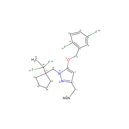 CNCc1cc(OCc2cc(F)ccc2F)n(CC2(C(C)(F)F)CCCC2)n1